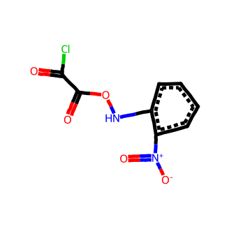 O=C(Cl)C(=O)ONc1ccccc1[N+](=O)[O-]